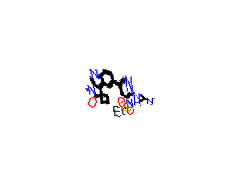 CCS(=O)(=O)Nc1cc(-c2ccc3ncc4c(c3c2)C2(CCC2)C(=O)N4C)cnc1N1CC(N(C)C)C1